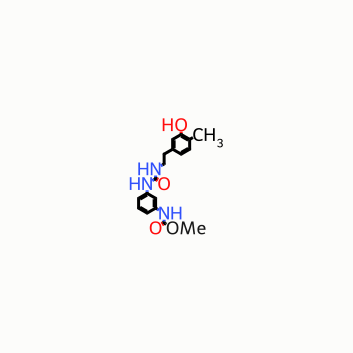 COC(=O)Nc1cccc(NC(=O)NCCc2ccc(C)c(O)c2)c1